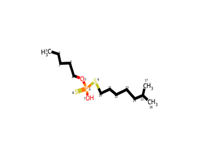 CCCCCOP(O)(=S)SCCCCCC(C)C